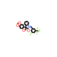 O=C1N(Cc2cc(F)cc(C(F)(F)F)c2)c2ccccc2C12COc1cc3c(cc12)OCO3